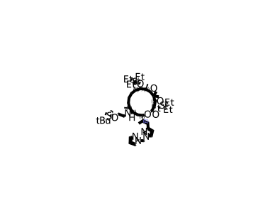 CC[Si](CC)(CC)O[C@H]1[C@@H](C)CCC[C@]2(C)[C@H](C[C@@H](/C(C)=C/c3ccn(Cn4cccn4)n3)OC(=O)C[C@H](O[Si](CC)(CC)CC)C(C)(C)C(=O)[C@@H]1C)N2CCO[Si](C)(C)C(C)(C)C